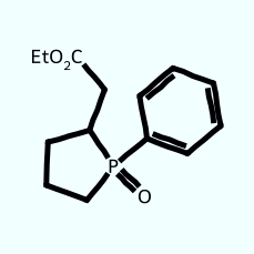 CCOC(=O)CC1CCCP1(=O)c1ccccc1